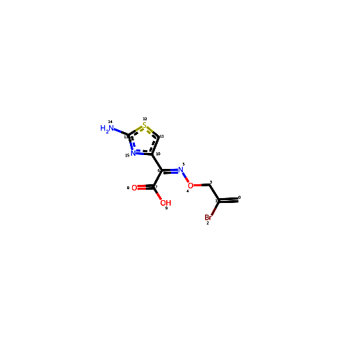 C=C(Br)CON=C(C(=O)O)c1csc(N)n1